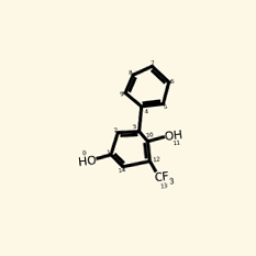 Oc1cc(-c2ccccc2)c(O)c(C(F)(F)F)c1